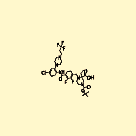 CCC1(C(=O)O)CN(C(=O)OC(C)(C)C)CCN1Cc1ccc(C(=O)Nc2ccc(Cl)cc2N2CCN(CCC(F)(F)F)CC2)c(F)c1F